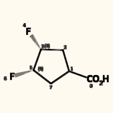 O=C(O)C1C[C@@H](F)[C@@H](F)C1